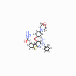 NC(=O)C[C@H]1CCc2sc3nc(Nc4ccccc4)cc(O[C@H]4CC[C@H](N5CCOCC5)CC4)c3c21